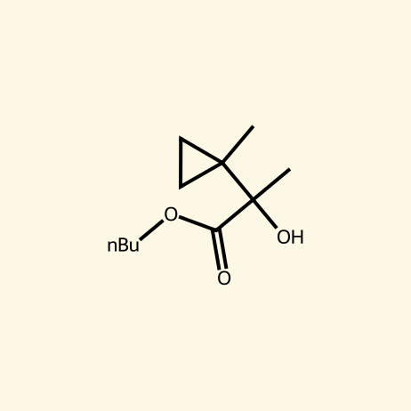 CCCCOC(=O)C(C)(O)C1(C)CC1